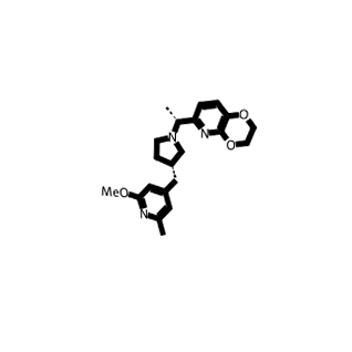 COc1cc(C[C@@H]2CCN([C@H](C)c3ccc4c(n3)OCCO4)C2)cc(C)n1